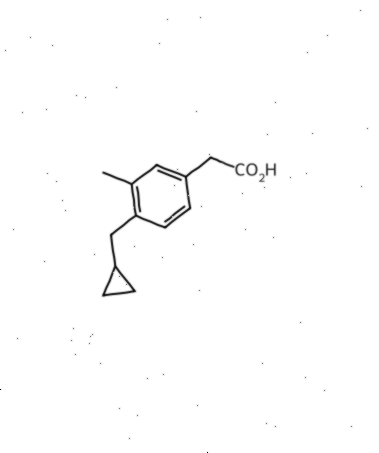 Cc1cc(CC(=O)O)ccc1CC1CC1